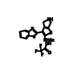 CC(=O)Nc1sc2c(c1-c1nc3ccccc3s1)CNC2.O=C(O)C(F)(F)F